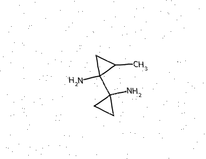 CC1CC1(N)C1(N)CC1